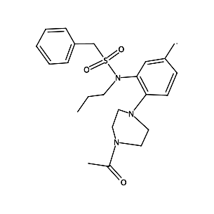 [CH2]c1ccc(N2CCN(C(C)=O)CC2)c(N(CCC)S(=O)(=O)Cc2ccccc2)c1